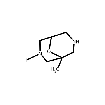 CC12CNCC(CN(I)C1)O2